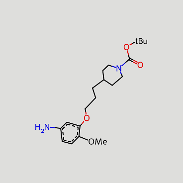 COc1ccc(N)cc1OCCCC1CCN(C(=O)OC(C)(C)C)CC1